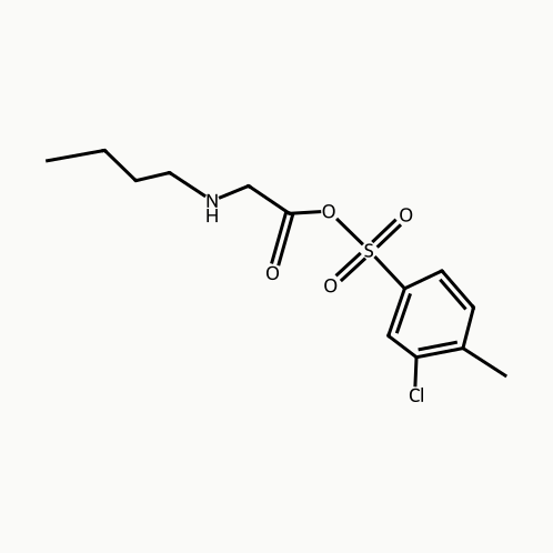 CCCCNCC(=O)OS(=O)(=O)c1ccc(C)c(Cl)c1